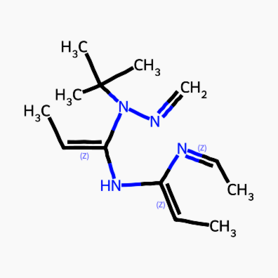 C=NN(/C(=C\C)NC(=C/C)/N=C\C)C(C)(C)C